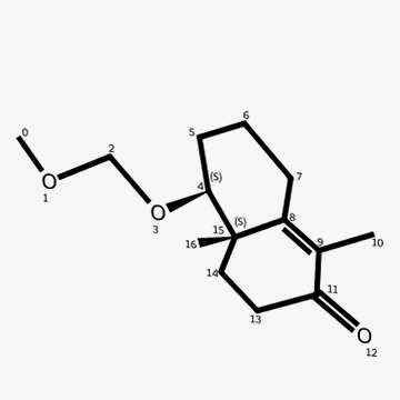 COCO[C@H]1CCCC2=C(C)C(=O)CC[C@@]21C